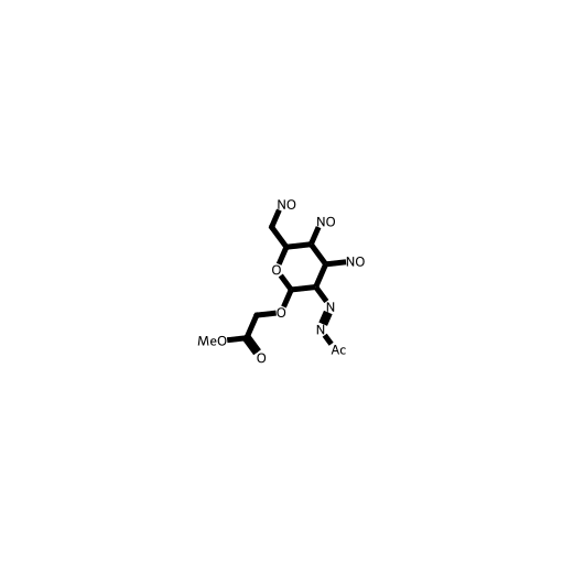 COC(=O)COC1OC(CN=O)C(N=O)C(N=O)C1N=NC(C)=O